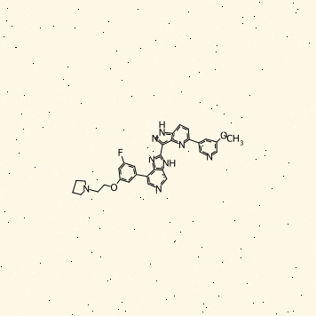 COc1cncc(-c2ccc3[nH]nc(-c4nc5c(-c6cc(F)cc(OCCN7CCCC7)c6)cncc5[nH]4)c3n2)c1